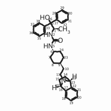 C[C@@H](NC(=O)N[C@H]1CC[C@H](CCN2[C@@H]3CC[C@H]2c2ccccc23)CC1)C(O)(c1ccccc1)c1ccccc1